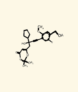 COc1cc(CO)c(F)cc1C#CC(O)(CC1=CC(=O)OC(C)(C)O1)C1CCCC1